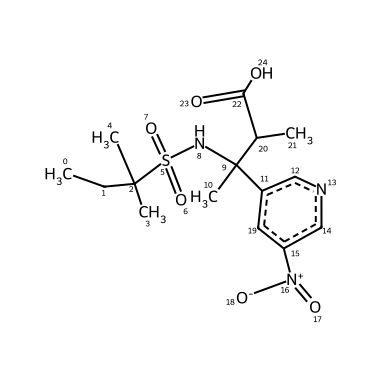 CCC(C)(C)S(=O)(=O)NC(C)(c1cncc([N+](=O)[O-])c1)C(C)C(=O)O